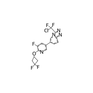 Fc1cc(-c2ccc3nnc(C(F)(F)Cl)n3c2)cnc1OC1CC(F)(F)C1